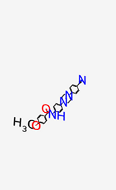 COc1ccc(C(=O)Nc2ccc(N3CCN(c4ccc(C#N)cc4)CC3)cc2)cc1